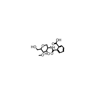 CO[C@@H]1C(CO)OCC(NC(=O)c2ccccc2C(=O)O)C1O